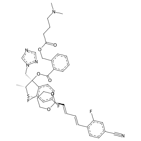 C[C@@H](S[C@H]1CO[C@H](C=CC=Cc2ccc(C#N)cc2F)OC1)[C@@](Cn1cncn1)(OC(=O)c1ccccc1COC(=O)CCCN(C)C)c1ccc(F)cc1F